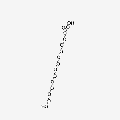 O=C(COCCOCCOCCOCCOCCOCCOCCOCCOCCOCCOCCOCCO)OCO